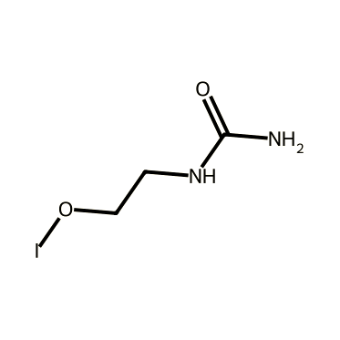 NC(=O)NCCOI